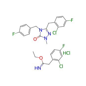 CCOC(=N)Cc1ccc(F)cc1Cl.Cl.Cn1nc(Cc2ccc(F)cc2Cl)n(Cc2ccc(F)cc2)c1=O